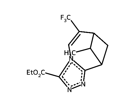 CCOC(=O)c1nnc2n1C=C(C(F)(F)F)C1CC2C1C